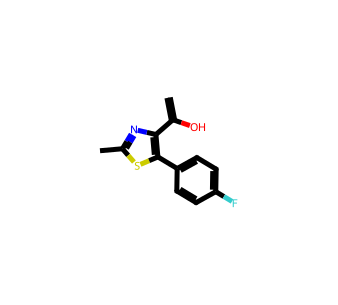 C=C(O)c1nc(C)sc1-c1ccc(F)cc1